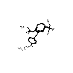 CCC(=O)c1ccc(C(F)(F)F)cc1-c1ccc(OC)cc1